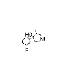 CC1CNCCC1(O)c1cccc(F)c1